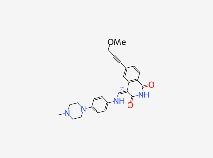 COCC#Cc1ccc2c(c1)/C(=C/Nc1ccc(N3CCN(C)CC3)cc1)C(=O)NC2=O